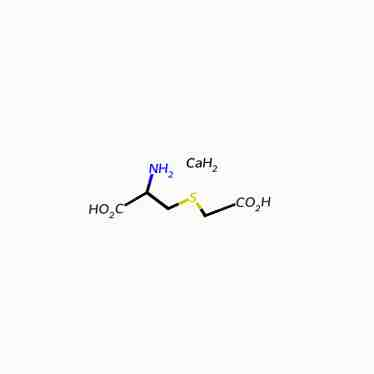 NC(CSCC(=O)O)C(=O)O.[CaH2]